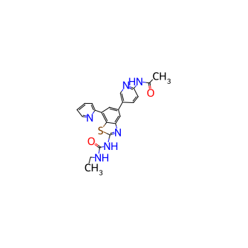 CCNC(=O)Nc1nc2cc(-c3ccc(NC(C)=O)nc3)cc(-c3ccccn3)c2s1